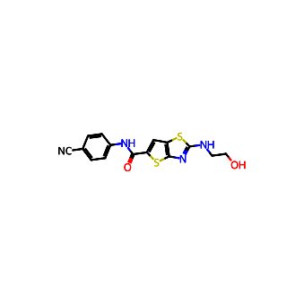 N#Cc1ccc(NC(=O)c2cc3sc(NCCO)nc3s2)cc1